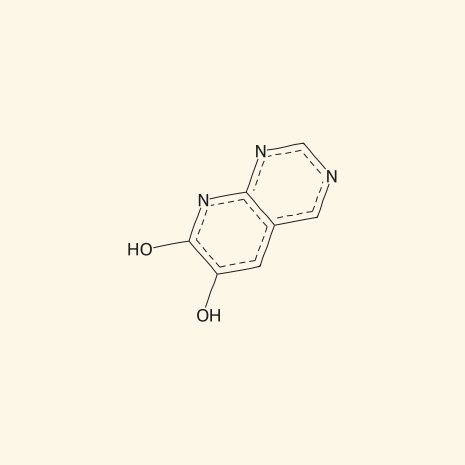 Oc1cc2cncnc2nc1O